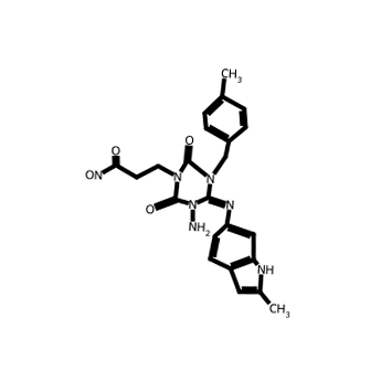 Cc1ccc(Cn2c(=O)n(CCC(=O)N=O)c(=O)n(N)/c2=N\c2ccc3cc(C)[nH]c3c2)cc1